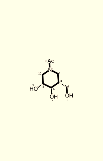 CC(=O)N1C[C@H](CO)[C@@H](O)[C@H](O)C1